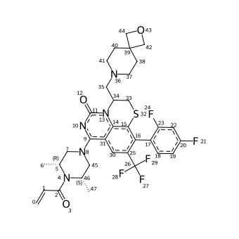 C=CC(=O)N1[C@H](C)CN(c2nc(=O)n3c4c(c(-c5ccc(F)cc5F)c(C(F)(F)F)cc24)SCC3CN2CCC3(CC2)COC3)C[C@@H]1C